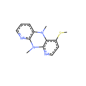 CSc1ccnc2c1N(C)c1cccnc1N2C